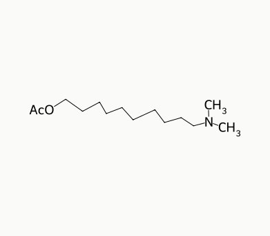 CC(=O)OCCCCCCCCCCN(C)C